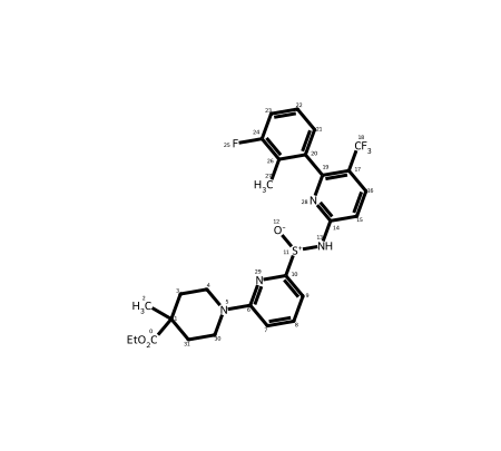 CCOC(=O)C1(C)CCN(c2cccc([S+]([O-])Nc3ccc(C(F)(F)F)c(-c4cccc(F)c4C)n3)n2)CC1